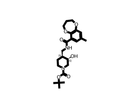 Cc1cc2c(c(C(=O)NC[C@@H]3CCN(C(=O)OC(C)(C)C)C[C@H]3O)c1)OCCCO2